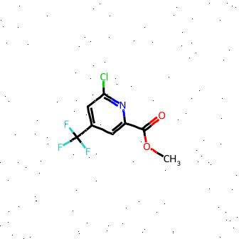 COC(=O)c1cc(C(F)(F)F)cc(Cl)n1